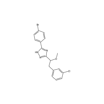 COC(Cc1cccc(Cl)c1)c1n[nH]c(-c2ccc(Br)cc2)n1